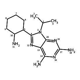 CC(C)n1c(C2CCCCC2N)nc2c(N)nc(N)nc21